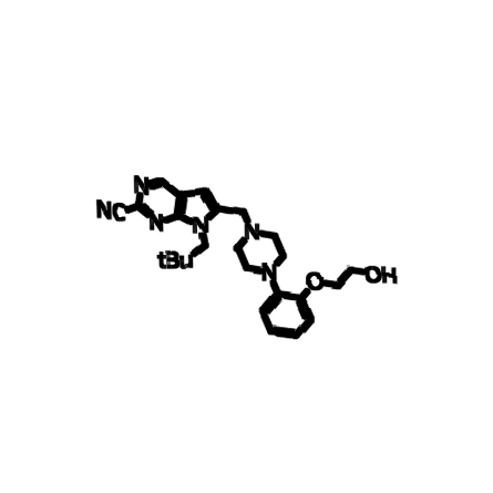 CC(C)(C)Cn1c(CN2CCN(c3ccccc3OCCO)CC2)cc2cnc(C#N)nc21